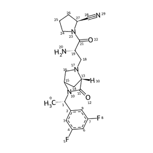 C[C@@H](c1cc(F)cc(F)c1)N1C(=O)[C@@H]2CC1CN2C[C@H](N)C(=O)N1CCC[C@H]1C#N